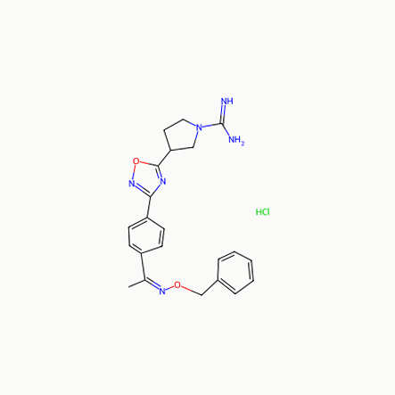 CC(=NOCc1ccccc1)c1ccc(-c2noc(C3CCN(C(=N)N)C3)n2)cc1.Cl